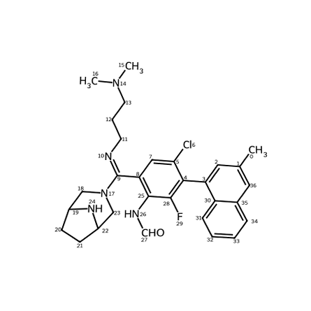 Cc1cc(-c2c(Cl)cc(/C(=N\CCCN(C)C)N3CC4CCC(C3)N4)c(NC=O)c2F)c2ccccc2c1